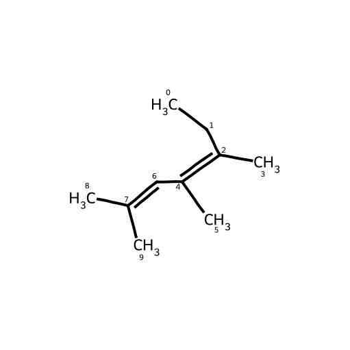 CCC(C)=C(C)C=C(C)C